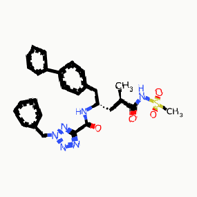 C[C@H](C[C@@H](Cc1ccc(-c2ccccc2)cc1)NC(=O)c1nnn(Cc2ccccc2)n1)C(=O)NS(C)(=O)=O